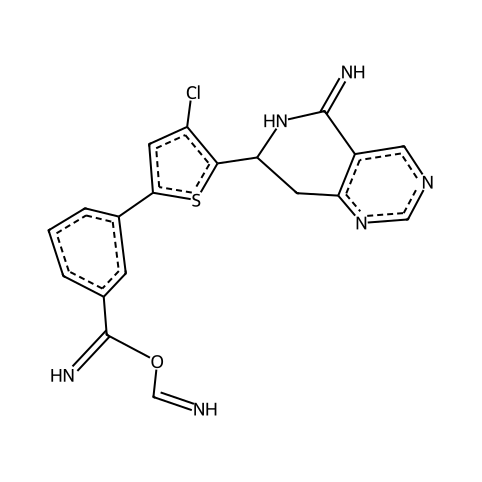 N=COC(=N)c1cccc(-c2cc(Cl)c(C3Cc4ncncc4C(=N)N3)s2)c1